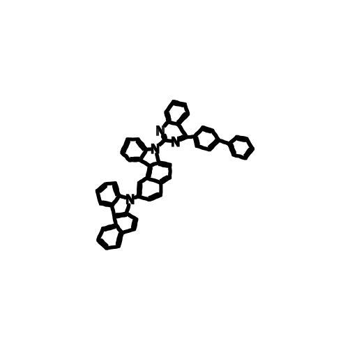 c1ccc(-c2ccc(-c3nc(-n4c5ccccc5c5c6cc(-n7c8ccccc8c8c9ccccc9ccc87)ccc6ccc54)nc4ccccc34)cc2)cc1